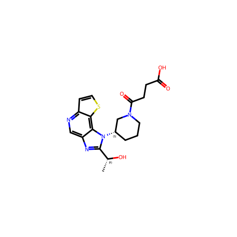 C[C@@H](O)c1nc2cnc3ccsc3c2n1[C@H]1CCCN(C(=O)CCC(=O)O)C1